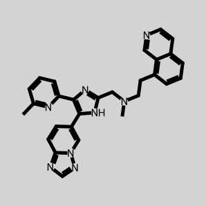 Cc1cccc(-c2nc(CN(C)CCc3cccc4ccncc34)[nH]c2-c2ccc3ncnn3c2)n1